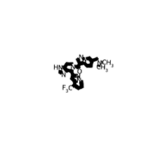 CN(C)Cc1ccc2c(C(=O)N3CCc4[nH]cnc4C3c3cc4c(C(F)(F)F)cccn4n3)cnn2c1